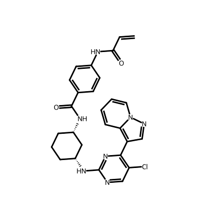 C=CC(=O)Nc1ccc(C(=O)N[C@H]2CCC[C@@H](Nc3ncc(Cl)c(-c4cnn5ccccc45)n3)C2)cc1